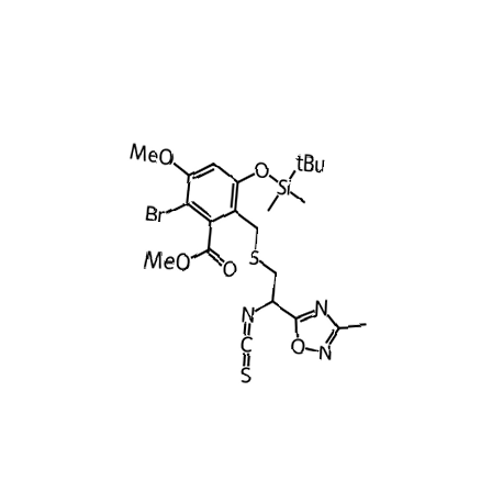 COC(=O)c1c(Br)c(OC)cc(O[Si](C)(C)C(C)(C)C)c1CSCC(N=C=S)c1nc(C)no1